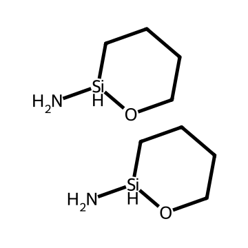 N[SiH]1CCCCO1.N[SiH]1CCCCO1